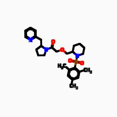 Cc1cc(C)c(S(=O)(=O)N2CCCCC2COCC(=O)N2CCCC2Cc2ccccn2)c(C)c1